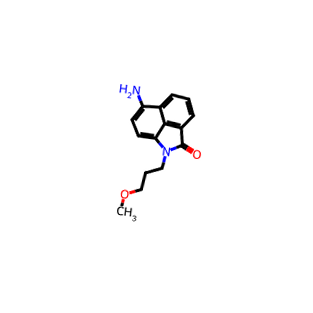 COCCCN1C(=O)c2cccc3c(N)ccc1c23